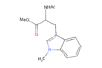 COC(=O)C(Cc1cn(C)c2ccccc12)NC(C)=O